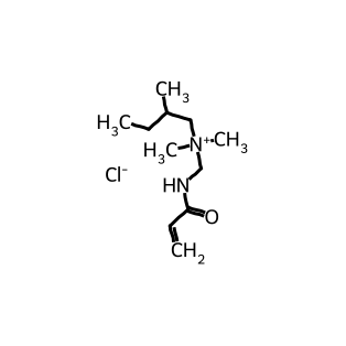 C=CC(=O)NC[N+](C)(C)CC(C)CC.[Cl-]